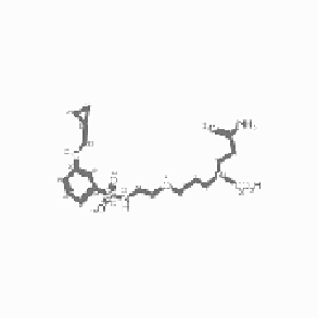 NC(=O)CCN(CCCOCCNS(=O)(=O)c1cccc(OCC2CC2)c1)C(=O)O